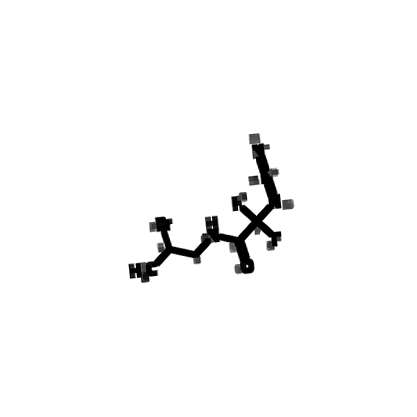 CC(Br)CNC(=O)C(F)(F)N=[N+]=[N-]